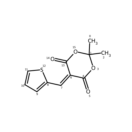 CC1(C)OC(=O)C(=Cc2cccs2)C(=O)O1